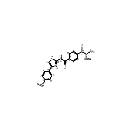 CCCCN(CCCC)[S+]([O-])c1ccc(C(=O)Nc2nc(-c3ccc(OC)cc3)cs2)cc1